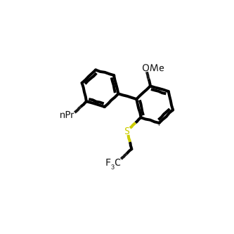 CCCc1cccc(-c2c(SCC(F)(F)F)[c]ccc2OC)c1